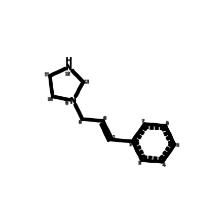 C(=C\c1ccccc1)/CN1CCNC1